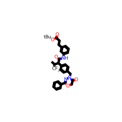 CC(C(C(=O)Nc1cccc(CCC(=O)OC(C)(C)C)c1)c1ccc(CN2N=C(c3ccccc3)OCC2=O)cc1)C(F)(F)F